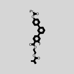 C=C(C)C(=O)OCCOC(=O)c1ccc(-c2cccc(-c3ccc(OC(=O)C(C)C)cc3)c2)cc1F